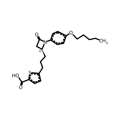 CCCCCOc1ccc(N2C(=O)C[C@@H]2CCCc2ccc(C(=O)O)s2)cc1